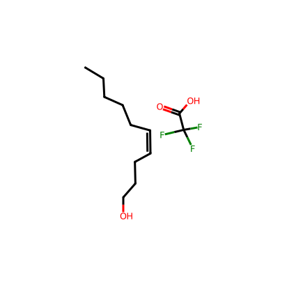 CCCCC/C=C\CCCO.O=C(O)C(F)(F)F